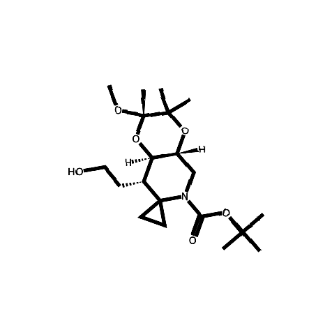 CO[C@@]1(C)O[C@@H]2[C@@H](CCO)C3(CC3)N(C(=O)OC(C)(C)C)C[C@H]2OC1(C)C